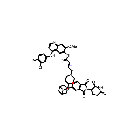 COc1cc2ncnc(Nc3ccc(F)c(Cl)c3)c2cc1NC(=O)/C=C/CN1CCC(CN2C3CC2CN(c2ccc4c(c2)C(=O)N(C2CCC(=O)NC2=O)C4=O)C3)CC1